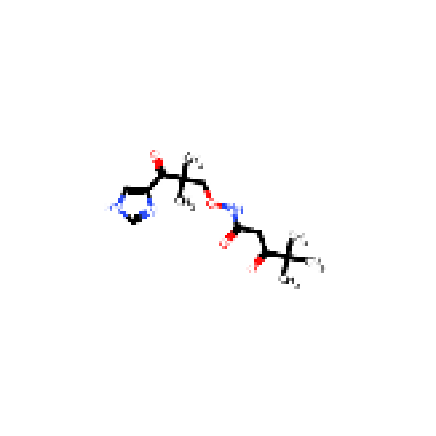 CC(C)(C)C(=O)CC(=O)NOCC(C)(C)C(=O)c1c[nH]cn1